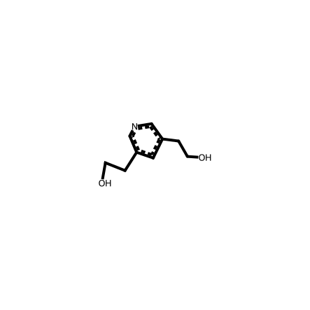 OCCc1cncc(CCO)c1